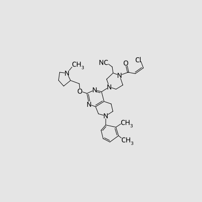 Cc1cccc(N2CCc3c(nc(OCC4CCCN4C)nc3N3CCN(C(=O)/C=C\Cl)C(CC#N)C3)C2)c1C